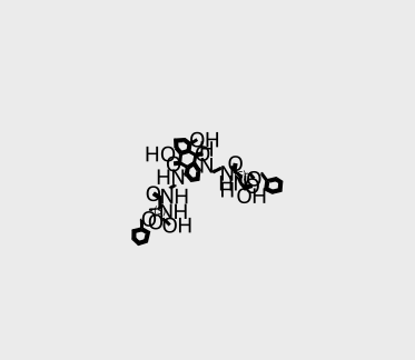 O=C(O)N[C@@H](COCc1ccccc1)C(=O)NCCNc1ccc(NCCNC(=O)[C@H](COCc2ccccc2)NC(=O)O)c2c1C(=O)c1c(O)ccc(O)c1C2=O